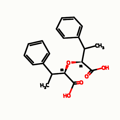 CC(c1ccccc1)[C@@H](O[C@@H](C(=O)O)C(C)c1ccccc1)C(=O)O